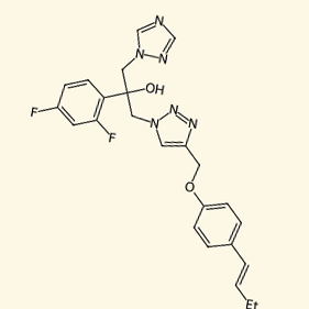 CCC=Cc1ccc(OCc2cn(CC(O)(Cn3cncn3)c3ccc(F)cc3F)nn2)cc1